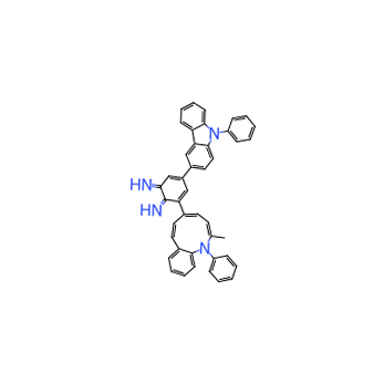 Cc1ccc(C2=CC(c3ccc4c(c3)c3ccccc3n4-c3ccccc3)=CC(=N)C2=N)ccc2ccccc2n1-c1ccccc1